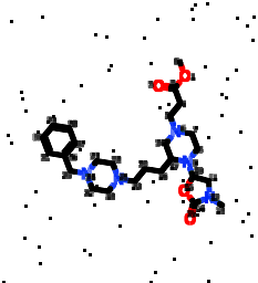 COC(=O)CCN1CCN(C2CN(C)C(=O)O2)C(CCCN2CCN(Cc3ccccc3)CC2)C1